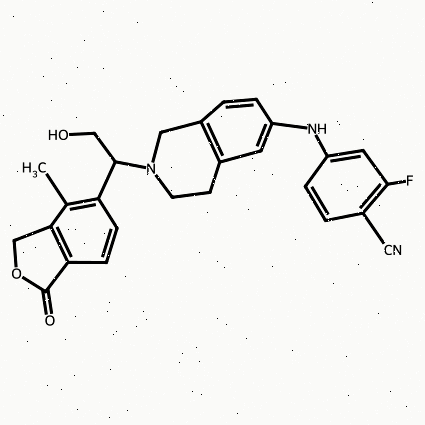 Cc1c(C(CO)N2CCc3cc(Nc4ccc(C#N)c(F)c4)ccc3C2)ccc2c1COC2=O